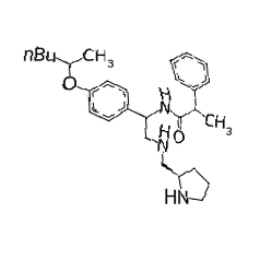 CCCCC(C)Oc1ccc(C(CNC[C@H]2CCCN2)NC(=O)C(C)c2ccccc2)cc1